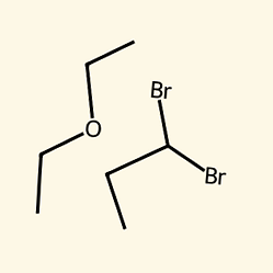 CCC(Br)Br.CCOCC